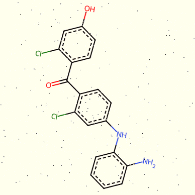 Nc1ccccc1Nc1ccc(C(=O)c2ccc(O)cc2Cl)c(Cl)c1